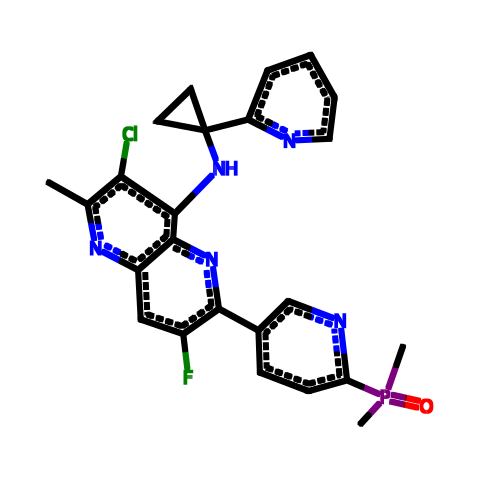 Cc1nc2cc(F)c(-c3ccc(P(C)(C)=O)nc3)nc2c(NC2(c3ccccn3)CC2)c1Cl